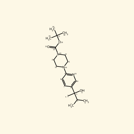 CC(C)C(O)(I)c1ccc(N2CCN(C(=O)OC(C)(C)C)CC2)nc1